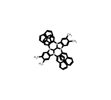 Cc1cc2c(cc1C)N(c1ccc3ccccc3c1)C(C1N(c3ccc4ccccc4c3)c3cc(C)c(C)cc3N1c1ccc3ccccc3c1)N2c1ccc2ccccc2c1